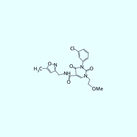 COCCn1cc(C(=O)NCc2cc(C)on2)c(=O)n(-c2cccc(Cl)c2)c1=O